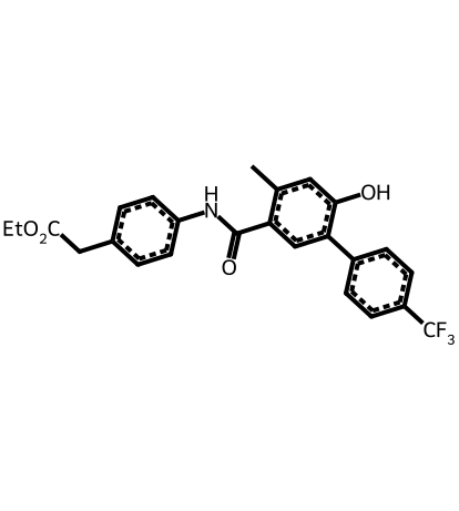 CCOC(=O)Cc1ccc(NC(=O)c2cc(-c3ccc(C(F)(F)F)cc3)c(O)cc2C)cc1